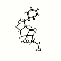 O=C(O)C1(CCCCl)CC2COC(c3ccccc3)N2C1=O